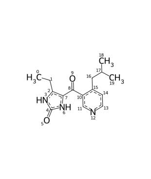 CCc1[nH]c(=O)[nH]c1C(=O)c1cnccc1CC(C)C